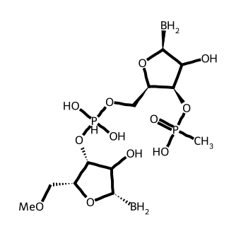 B[C@@H]1O[C@H](CO[PH](O)(O)O[C@@H]2C(O)[C@H](B)O[C@@H]2COC)[C@H](OP(C)(=O)O)C1O